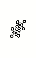 Cc1cccc(C)c1N(c1cc(-c2ccccc2)cc(-c2ccccc2)c1)c1ccc2ccc3c(N(c4cc(-c5ccccc5)cc(-c5ccccc5)c4)c4c(C)cccc4C)ccc4ccc1c2c43